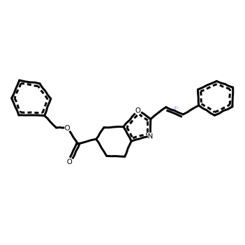 O=C(OCc1ccccc1)C1CCc2nc(/C=C/c3ccccc3)oc2C1